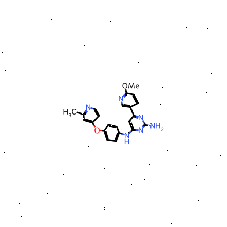 COc1ccc(-c2cc(Nc3ccc(Oc4ccnc(C)c4)cc3)nc(N)n2)cn1